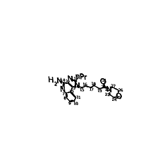 CCCc1nc2c(N)nc3ccccc3c2n1CCCCCC(=O)N1CCOCC1